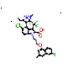 CCc1nn(C)c(C)c1-c1c(Cl)ccc2c1c(C(F)(F)F)c(C(=O)OC)n2CCCOc1cc(C)cc2cc(F)ccc12